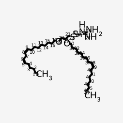 CCCCC/C=C\C/C=C\CCCCCCCCOCC(CSSCNC(=N)N)OCCCCCCCC/C=C\CCCCCCCC